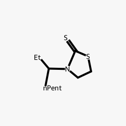 CCCCCC(CC)N1CCSC1=S